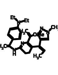 C=C(OC)C1=C(/C(=C\C)c2cnn(C)c2)CCC(NC(=C)c2ccc(N(CC)CC)cc2)=N1